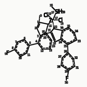 CC1=Cc2c(-c3ccc(F)cc3)cccc2[CH]1[Zr]([Cl])([Cl])([CH]1C(C)=Cc2c(-c3ccc(F)cc3)cccc21)[SiH](C)C